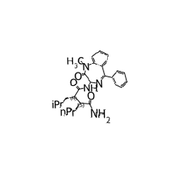 CCC[C@H](C(N)=O)[C@@H](CC(C)C)C(=O)NC1N=C(c2ccccc2)c2ccccc2N(C)C1=O